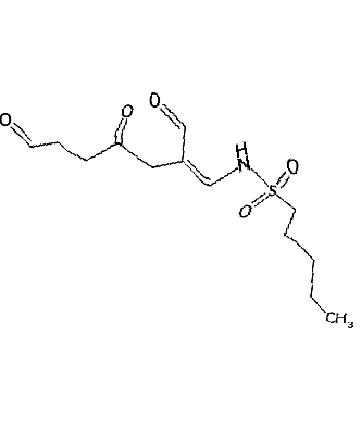 CCCCCS(=O)(=O)NC=C(C=O)CC(=O)CCC=O